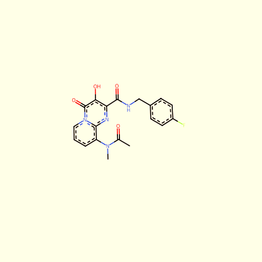 CC(=O)N(C)c1cccn2c(=O)c(O)c(C(=O)NCc3ccc(F)cc3)nc12